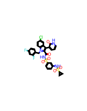 O=C(NS(=O)(=O)c1cccc(NS(=O)(=O)C2CC2)c1)c1c(-c2ccc[nH]c2=O)c2cc(Cl)ccc2n1Cc1ccc(F)cc1F